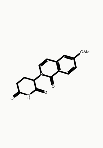 COc1ccc2c(=O)n(C3CCC(=O)NC3=O)ccc2c1